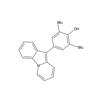 CC(C)(C)c1cc(-c2c3ccccc3n3ccccc23)cc(C(C)(C)C)c1O